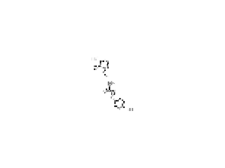 O=C(NCCCn1cccc(O)c1=O)OCc1ccc(O)cc1